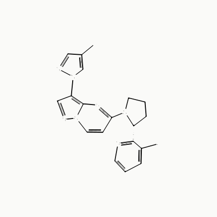 Cc1cnn(-c2cnn3ccc(N4CCC[C@@H]4c4ncccc4F)nc23)c1